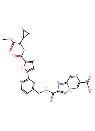 CNC(=O)C(NC(=O)c1ccc(-c2cccc(CNC(=O)c3cn4cc(C(=O)O)ccc4n3)c2)o1)C1CC1